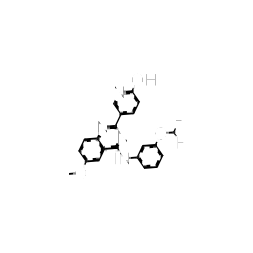 COc1ccc2nc(-c3ccc(O)nc3)nc(Nc3cccc(OC(F)F)c3)c2c1